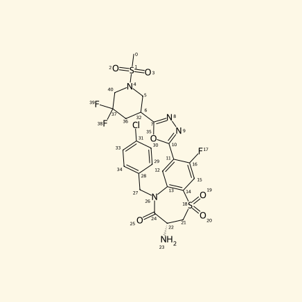 CS(=O)(=O)N1CC(c2nnc(-c3cc4c(cc3F)S(=O)(=O)C[C@H](N)C(=O)N4Cc3ccc(Cl)cc3)o2)CC(F)(F)C1